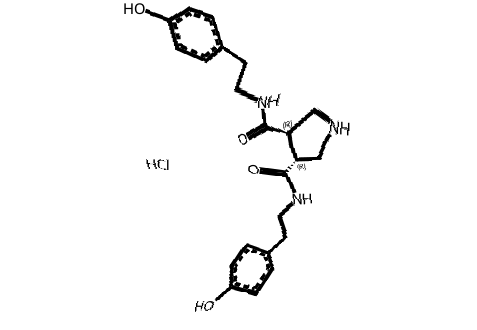 Cl.O=C(NCCc1ccc(O)cc1)[C@H]1CNC[C@@H]1C(=O)NCCc1ccc(O)cc1